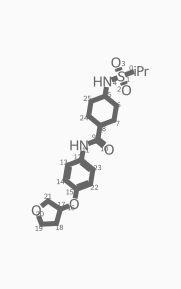 CC(C)S(=O)(=O)NC1CCC(C(=O)Nc2ccc(OC3CCOC3)cc2)CC1